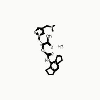 CN(C)Cc1cnn(C[C@@H](OC(=O)Nc2c3c(cc4c2CCC4)CCC3)C(=O)O)c1.Cl